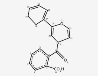 O=C(O)c1ccccc1C(=O)N1C=COC(C2=CC=CCC2)=C1